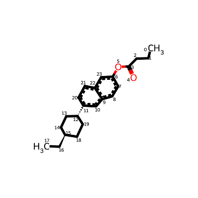 CCCC(=O)Oc1ccc2cc([C@H]3CC[C@H](CC)CC3)ccc2c1